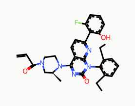 C=CC(=O)N1CCN(c2nc(=O)n(-c3c(CC)cccc3CC)c3nc(-c4c(O)cccc4F)ccc23)[C@@H](C)C1